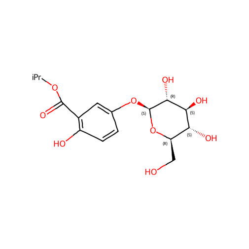 CC(C)OC(=O)c1cc(O[C@@H]2O[C@H](CO)[C@@H](O)[C@H](O)[C@H]2O)ccc1O